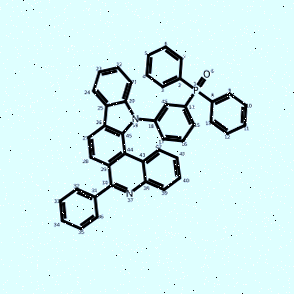 O=P(c1ccccc1)(c1ccccc1)c1cccc(-n2c3ccccc3c3ccc4c(-c5ccccc5)nc5ccccc5c4c32)c1